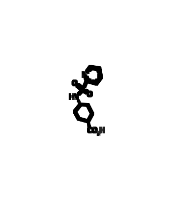 O=C(O)[C@H]1CC[C@H](NS(=O)(=O)c2ccccn2)CC1